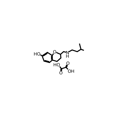 CC(C)CCNCC1CCc2ccc(O)cc2O1.O=C(O)C(=O)O